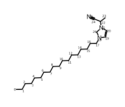 CCCCCCCCCCCCCCCCCCN1C=CN(C(C)C#N)C1